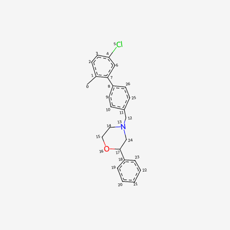 Cc1ccc(Cl)cc1-c1ccc(CN2CCOC(c3ccccc3)C2)cc1